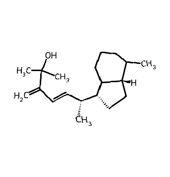 C=C(/C=C/[C@@H](C)[C@H]1CC[C@H]2C(C)CCCC21)C(C)(C)O